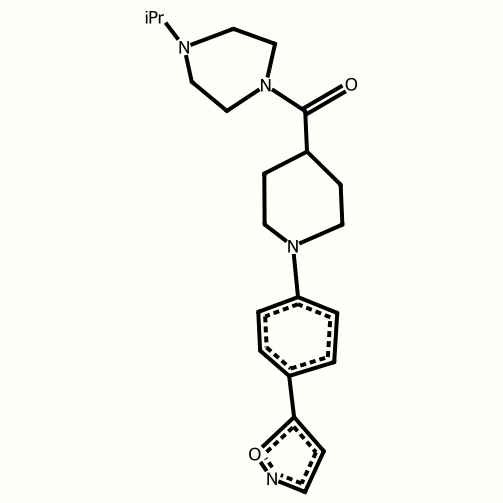 CC(C)N1CCN(C(=O)C2CCN(c3ccc(-c4ccno4)cc3)CC2)CC1